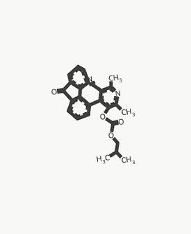 Cc1nc(C)c(OC(=O)OCC(C)C)c(-c2cccc3c2-c2ccccc2C3=O)c1C#N